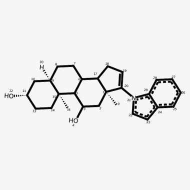 C[C@]12CC(O)C3C(CC[C@@H]4C[C@@H](O)CC[C@]34C)C1CC=C2n1ccc2ccccc21